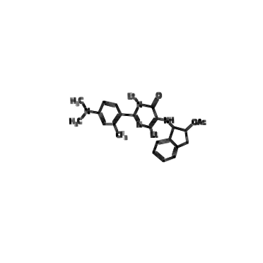 CCc1nc(-c2ccc(N(C)C)cc2C(F)(F)F)n(CC)c(=O)c1NC1c2ccccc2CC1OC(C)=O